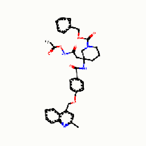 Cc1cc(COc2ccc(C(=O)NC3(CC(=O)NOC(=O)C(F)(F)F)CCCN(C(=O)OCc4ccccc4)C3)cc2)c2ccccc2n1